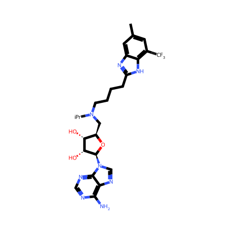 Cc1cc(C(F)(F)F)c2[nH]c(CCCCN(C[C@H]3O[C@@H](n4cnc5c(N)ncnc54)[C@H](O)[C@@H]3O)C(C)C)nc2c1